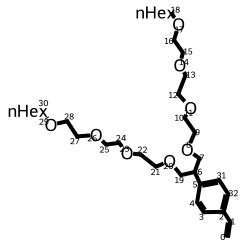 C=Cc1ccc(C(COCCOCCOCCOCCCCCC)COCCOCCOCCOCCCCCC)cc1